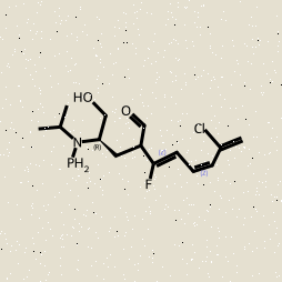 C=C(Cl)/C=C\C=C(/F)C(C=O)C[C@H](CO)N(P)C(C)C